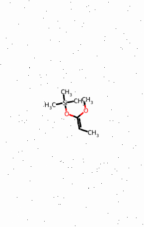 C/C=C(\OC)O[Si](C)(C)C